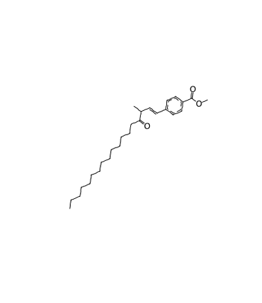 CCCCCCCCCCCCCCC(=O)C(C)C=Cc1ccc(C(=O)OC)cc1